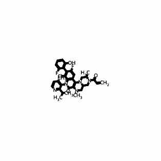 C=CC(=O)N1CC2CN(C)c3c(c4cc(F)c(-c5c(O)cccc5F)c(Cl)c4n(-c4c(C)ccnc4C(C)C)c3=O)N2CC1C